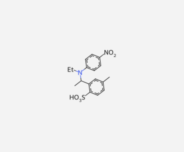 CCN(c1ccc([N+](=O)[O-])cc1)C(C)c1cc(C)ccc1S(=O)(=O)O